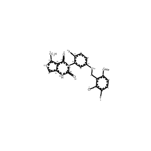 COc1ccc(F)c(Cl)c1COc1ccc(F)c(-n2c(=O)[nH]c3csc(C(=O)O)c3c2=O)c1